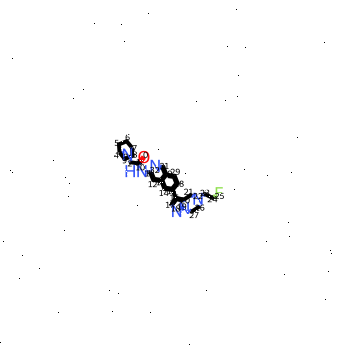 O=C(CN1C2CCC1CC2)Nc1cc2cc(-c3cnn4c3CN(CCF)CC4)ccc2cn1